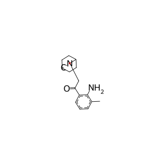 Cc1cccc(C(=O)CN2CC3CCC(CC3)C2)c1N